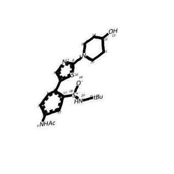 CC(=O)Nc1ccc(-c2cnc(N3CCC(O)CC3)s2)c([S+]([O-])NC(C)(C)C)c1